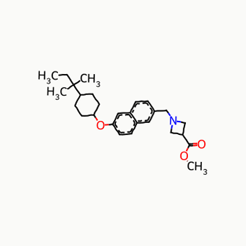 CCC(C)(C)C1CCC(Oc2ccc3cc(CN4CC(C(=O)OC)C4)ccc3c2)CC1